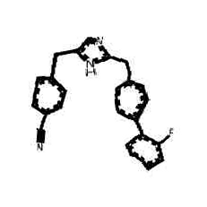 N#Cc1ccc(Cc2cnc(Cc3ccc(-c4ccccc4F)cc3)[nH]2)cc1